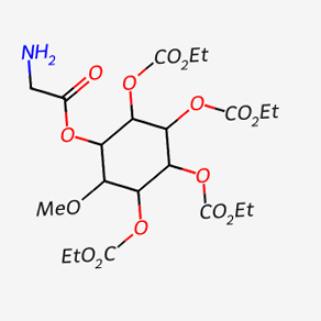 CCOC(=O)OC1C(OC)C(OC(=O)CN)C(OC(=O)OCC)C(OC(=O)OCC)C1OC(=O)OCC